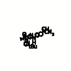 CN(C)C1CCc2cc(Nc3cc4c(cn3)c(=O)n(C3CC3)n4-c3cccc(C(C)(C)C)n3)ccc2C1